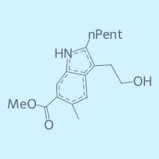 CCCCCc1[nH]c2cc(C(=O)OC)c(C)cc2c1CCO